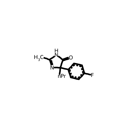 CCCC1(c2ccc(F)cc2)N=C(C)NC1=O